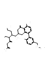 CCCNCc1ccc(OC)c(-c2ccc(O)c3c2CC(CC(CCO)C(CO)C(=O)CC(N)=O)CC3=O)c1